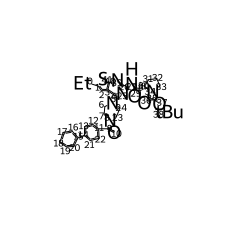 CCc1cc2c(N3CCN(C(=O)c4ccc(-c5ccccc5)cc4)CC3)nc(NC(=O)[C@@H]3CCCN3C(=O)OC(C)(C)C)nc2s1